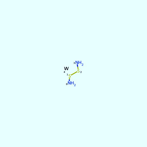 NSSN.[W]